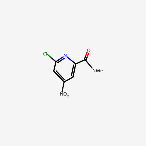 CNC(=O)c1cc([N+](=O)[O-])cc(Cl)n1